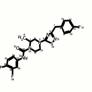 CC1CN(c2nc(Cc3ccc(F)cc3)ns2)CCN1C(=O)Nc1ccc(F)c(F)c1